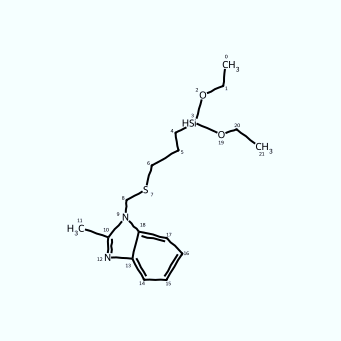 CCO[SiH](CCCSCn1c(C)nc2ccccc21)OCC